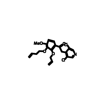 C=CCCOc1c(OC)ccc(C(=O)Cc2c(Cl)cncc2Cl)c1OCC=C